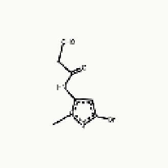 Cn1nc(Br)cc1NC(=O)CC=O